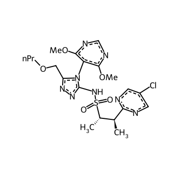 CCCOCc1nnc(NS(=O)(=O)[C@@H](C)[C@H](C)c2ncc(Cl)cn2)n1-c1c(OC)ncnc1OC